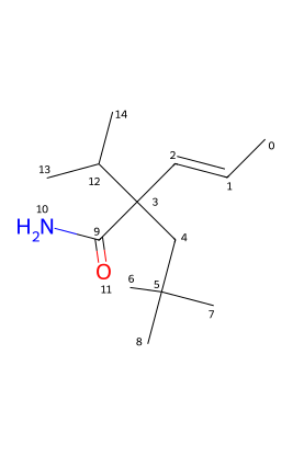 CC=CC(CC(C)(C)C)(C(N)=O)C(C)C